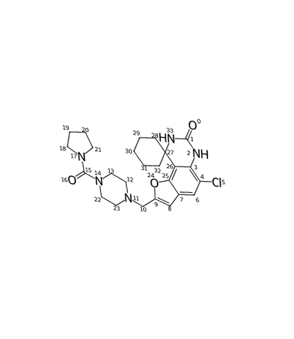 O=C1Nc2c(Cl)cc3cc(CN4CCN(C(=O)N5CCCC5)CC4)oc3c2C2(CCCCC2)N1